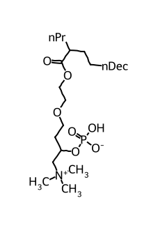 CCCCCCCCCCCCC(CCC)C(=O)OCCOCCC(C[N+](C)(C)C)OP(=O)([O-])O